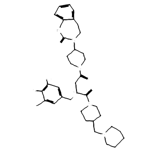 Nc1c(Cl)cc(C[C@@H](CC(=O)N2CCC(N3CCc4ccccc4NC3=O)CC2)C(=O)N2CCC(CN3CCCCC3)CC2)cc1C(F)(F)F